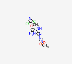 C[C@H](Oc1ccc(N)c(C(=N)c2ccc(N3CCN(S(C)(=O)=O)CC3)nc2)c1)c1c(Cl)cncc1Cl